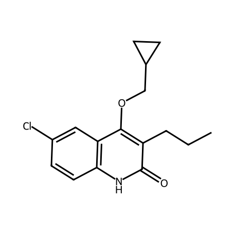 CCCc1c(OCC2CC2)c2cc(Cl)ccc2[nH]c1=O